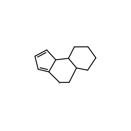 [C]1CC2CCCCC2C2C=CC=C12